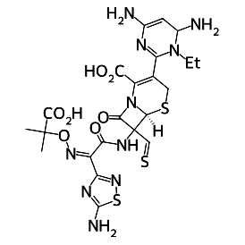 CCN1C(C2=C(C(=O)O)N3C(=O)C(C=S)(NC(=O)/C(=N\OC(C)(C)C(=O)O)c4nsc(N)n4)[C@@H]3SC2)=NC(N)=CC1N